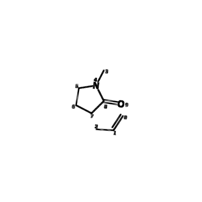 C=CC.CN1CCCC1=O